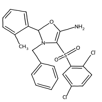 Cc1ccccc1C1OC(N)=C(S(=O)(=O)c2cc(Cl)ccc2Cl)N1Cc1ccccc1